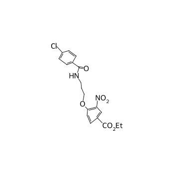 CCOC(=O)c1ccc(OCCCNC(=O)c2ccc(Cl)cc2)c([N+](=O)[O-])c1